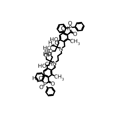 Cc1cc(C)c(C(=O)P(=O)(c2ccccc2)c2ccccc2)c(C)c1CN(CCCN(Cc1c(C)cc(C)c(C(=O)P(=O)(c2ccccc2)c2ccccc2)c1C)C(CO)(CO)CO)C(CO)(CO)CO